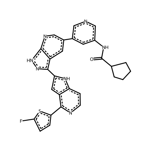 O=C(Nc1cncc(-c2cnc3[nH]nc(-c4cc5c(-c6ccc(F)s6)nccc5[nH]4)c3c2)c1)C1CCCC1